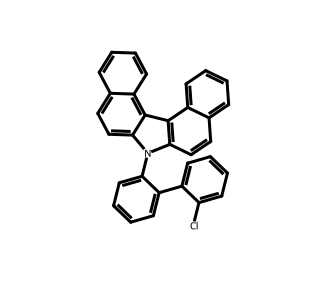 Clc1ccccc1-c1ccccc1-n1c2ccc3ccccc3c2c2c3ccccc3ccc21